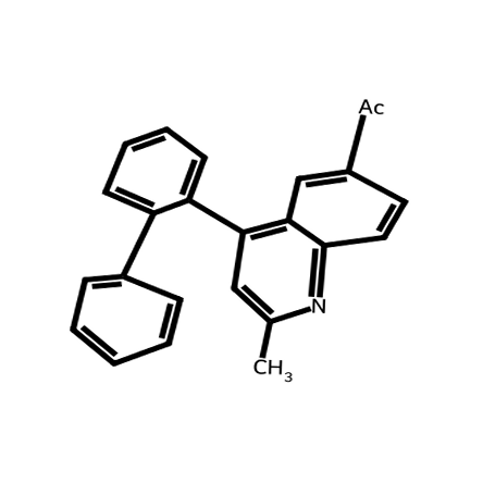 CC(=O)c1ccc2nc(C)cc(-c3ccccc3-c3ccccc3)c2c1